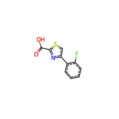 O=C(O)c1nc(-c2ccccc2F)cs1